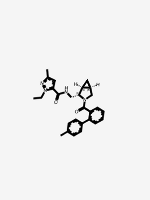 CCn1nc(C)cc1C(=O)NC[C@@H]1[C@H]2C[C@H]2CN1C(=O)c1ccccc1-c1ccc(C)cc1